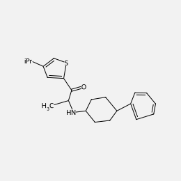 CC(NC1CCC(c2ccccc2)CC1)C(=O)c1cc(C(C)C)cs1